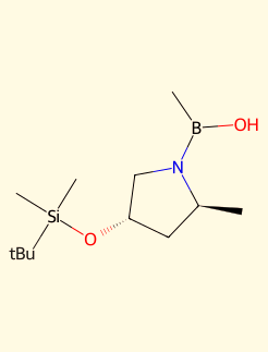 CB(O)N1C[C@@H](O[Si](C)(C)C(C)(C)C)C[C@@H]1C